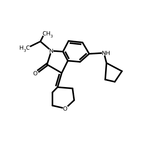 CC(C)N1C(=O)C(=C2CCOCC2)c2cc(NC3CCC3)ccc21